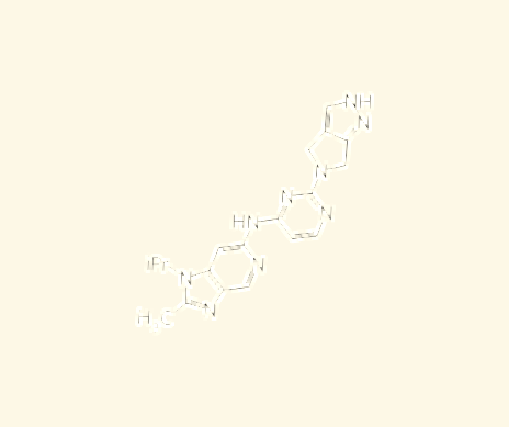 Cc1nc2cnc(Nc3ccnc(N4Cc5c[nH]nc5C4)n3)cc2n1C(C)C